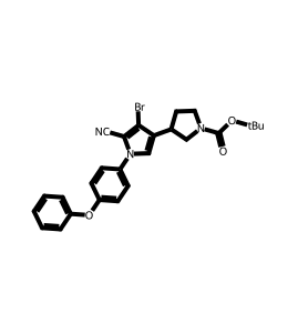 CC(C)(C)OC(=O)N1CCC(c2cn(-c3ccc(Oc4ccccc4)cc3)c(C#N)c2Br)C1